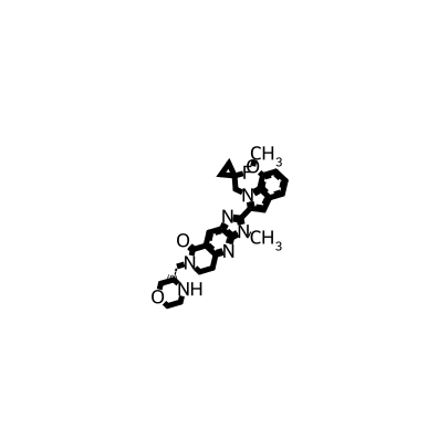 COc1cccc2cc(-c3nc4cc5c(nc4n3C)CCN(C[C@H]3COCCN3)C5=O)n(CC3(F)CC3)c12